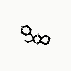 CCc1nc2ccccc2nc1-c1ccncc1